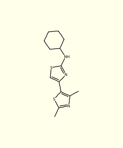 Cc1nc(C)c(-c2csc(NC3CCCCC3)n2)s1